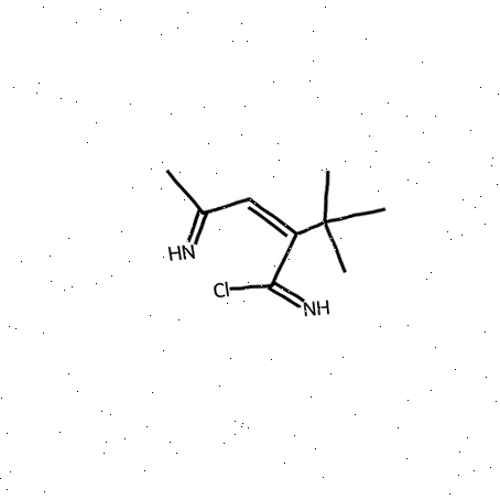 CC(=N)/C=C(\C(=N)Cl)C(C)(C)C